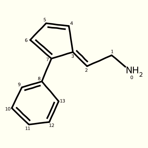 NCC=C1C=CC=C1c1ccccc1